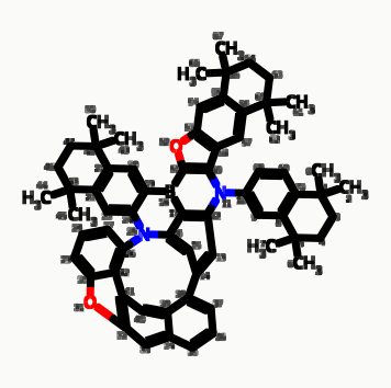 CC1(C)CCC(C)(C)c2cc(N3c4cc5cc6c4B(c4cc7c(cc4-n6c4cccc6oc8cc9cccc5c9cc8c64)C(C)(C)CCC7(C)C)c4oc5cc6c(cc5c43)C(C)(C)CCC6(C)C)ccc21